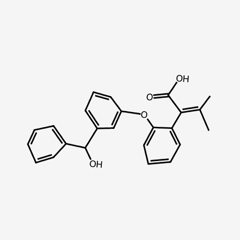 CC(C)=C(C(=O)O)c1ccccc1Oc1cccc(C(O)c2ccccc2)c1